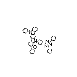 c1ccc(-c2nc(-c3ccccc3)nc(-c3ccc(-n4c5cc6c7ccccc7n(-c7ccccc7)c6cc5c5ccc6c7ccccc7oc6c54)cc3)n2)cc1